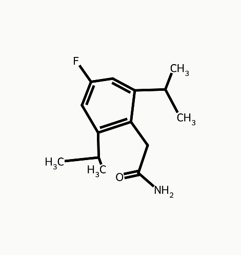 CC(C)c1cc(F)cc(C(C)C)c1CC(N)=O